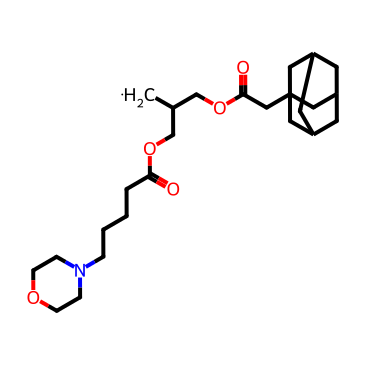 [CH2]C(COC(=O)CCCCN1CCOCC1)COC(=O)CC12CC3CC(CC(C3)C1)C2